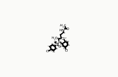 CC(=O)NCCC[C@@H](C)N(c1cc(Cl)ccc1Cl)S(=O)(=O)c1ccc(Cl)cc1